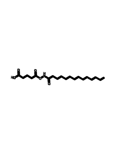 CCCCCCCCCCCCCC(=O)NOC(=O)CCCC(=O)O